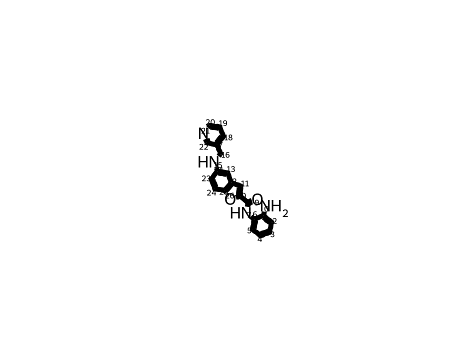 Nc1ccccc1NC(=O)c1cc2cc(NCc3cccnc3)ccc2o1